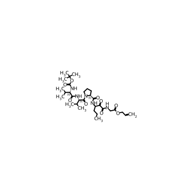 C=CCOC(=O)CNC(=O)C(=O)C(CCC)NC(=O)[C@@H]1CCCN1C(=O)[C@@H](NC(=O)[C@@H](NC(=O)OC(C)(C)C)C(C)C)C(C)C